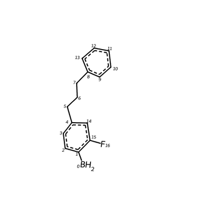 Bc1ccc(CCCc2ccccc2)cc1F